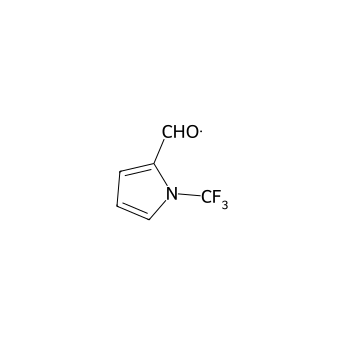 O=[C]c1cccn1C(F)(F)F